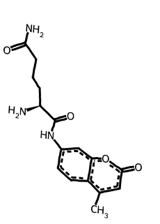 Cc1cc(=O)oc2cc(NC(=O)[C@@H](N)CCCC(N)=O)ccc12